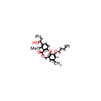 COc1c([C@@H](O)CC(C)C)ccc2c1C(=O)OCc1cc(C)cc(OCCCC(C)C)c1O2